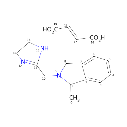 CC1c2ccccc2CN1CC1=NCCN1.O=C(O)C=CC(=O)O